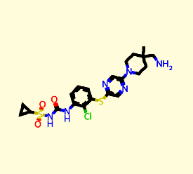 CC1(CN)CCN(c2cnc(Sc3cccc(NC(=O)NS(=O)(=O)C4CC4)c3Cl)cn2)CC1